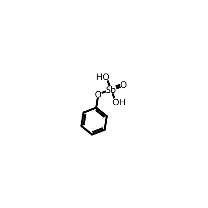 [O]=[Sb]([OH])([OH])[O]c1ccccc1